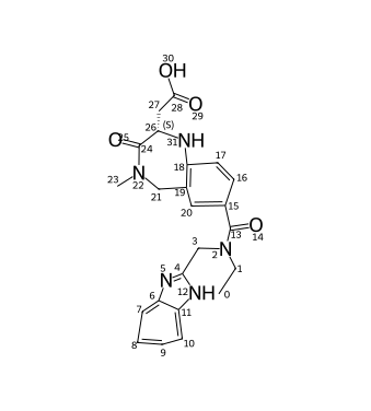 CCN(Cc1nc2ccccc2[nH]1)C(=O)c1ccc2c(c1)CN(C)C(=O)[C@H](CC(=O)O)N2